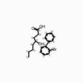 Brc1ccccc1-c1ccccc1.CCCCC(O)CCC(=O)O